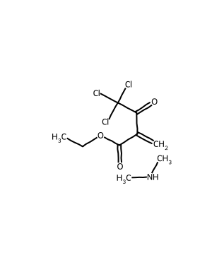 C=C(C(=O)OCC)C(=O)C(Cl)(Cl)Cl.CNC